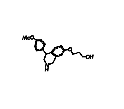 COc1ccc(C2CNCc3cc(OCCCO)ccc32)cc1